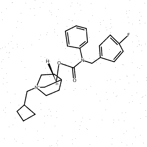 O=C(O[C@H]1C[N+]2(CC3CCC3)CCC1CC2)N(Cc1ccc(F)cc1)c1ccccc1